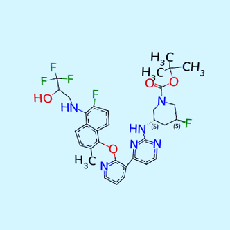 Cc1ccc2c(NCC(O)C(F)(F)F)c(F)ccc2c1Oc1ncccc1-c1ccnc(N[C@H]2C[C@H](F)CN(C(=O)OC(C)(C)C)C2)n1